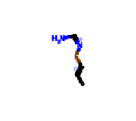 C/C=C/S/N=C\N